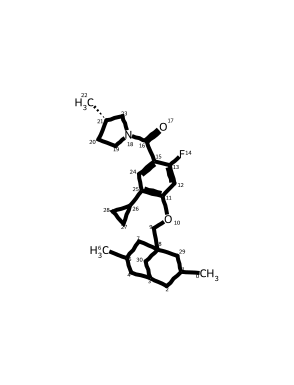 CC1CC2CC(C)CC(COc3cc(F)c(C(=O)N4CC[C@H](C)C4)cc3C3CC3)(C1)C2